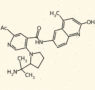 CC(=O)c1cc(C(=O)Nc2ccc3nc(O)cc(C)c3c2)c(N2CCCC2C(C)(C)N)cn1